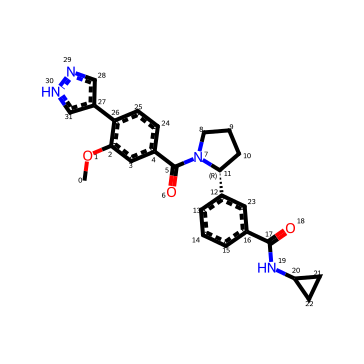 COc1cc(C(=O)N2CCC[C@@H]2c2cccc(C(=O)NC3CC3)c2)ccc1-c1cn[nH]c1